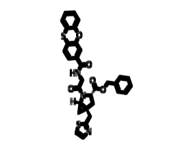 O=C(NCC(=O)N1[C@H]2C[C@@]2(Cc2nccs2)C[C@H]1C(=O)OCc1ccccc1)c1ccc2c(c1)Oc1ccccc1S2